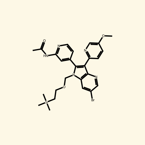 COc1ccc(-c2c(-c3ccnc(NC(C)=O)c3)n(COCC[Si](C)(C)C)c3cc(Br)cnc23)nc1